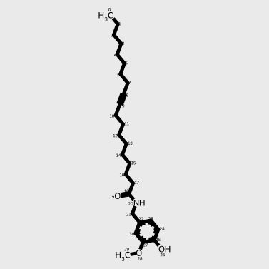 CCCCCCCCC#CCCCCCCCCC(=O)NCc1ccc(O)c(OC)c1